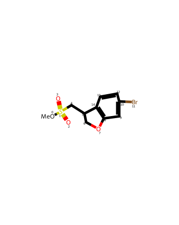 COS(=O)(=O)CC1COc2cc(Br)ccc21